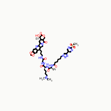 CC[C@@]1(O)C(=O)OCc2c1cc1n(c2=O)Cc2c-1nc1cc3c(cc1c2CCCNC(=O)CNC(=O)[C@H](CCCCN(C)C)NC(=O)[C@@H](NC(=O)CCCCCn1cc(-c2cnc(S(C)(=O)=O)nc2)nn1)C(C)C)OCO3